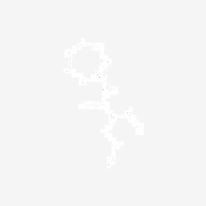 O=NN(CCCl)C(=O)NN1CCCCCC1